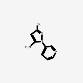 CC(C)(C)c1cc(N)n(-c2cccnc2)n1